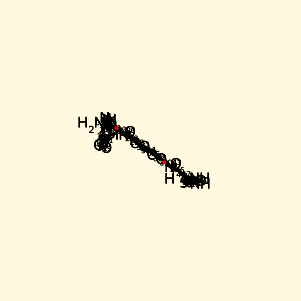 Nc1ncnc2c1nc(Sc1cc3c(cc1I)OCO3)n2CCCNC(=O)CCOCCOCCOCCOCCNC(=O)CCCCC1SCC2NC(=O)NC21